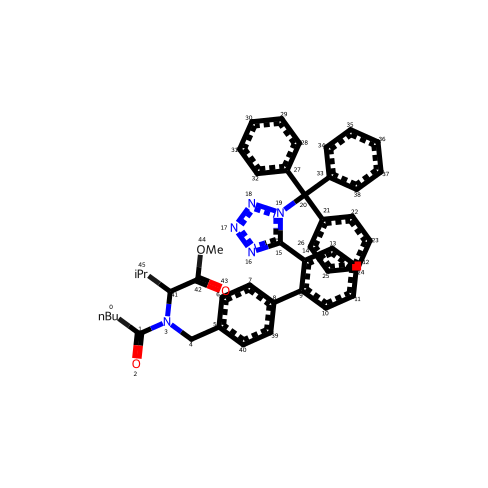 CCCCC(=O)N(Cc1ccc(-c2ccccc2-c2nnnn2C(c2ccccc2)(c2ccccc2)c2ccccc2)cc1)C(C(=O)OC)C(C)C